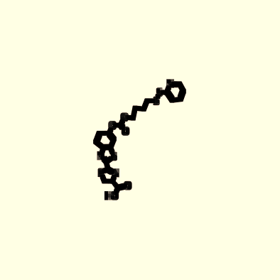 O=C(OCCCCSSc1ccccn1)Oc1ccc2nc(C3=N[C@@H](C(=O)O)CS3)sc2c1